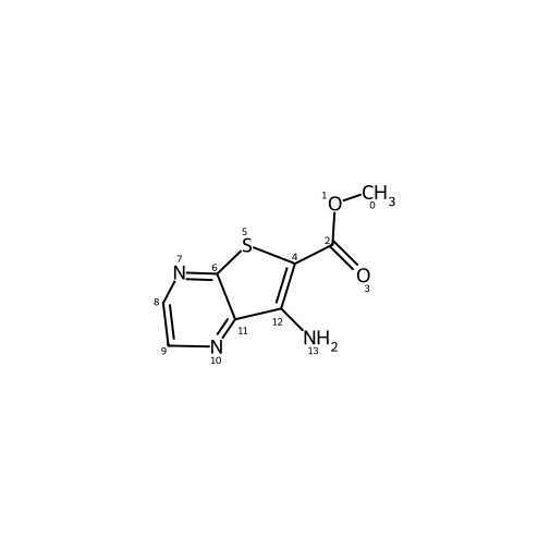 COC(=O)c1sc2nccnc2c1N